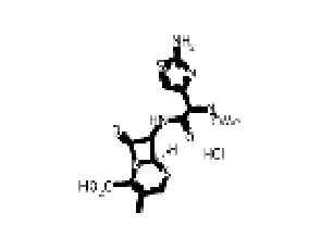 CO/N=C(\C(=O)NC1C(=O)N2C(C(=O)O)=C(C)CS[C@H]12)c1csc(N)n1.Cl